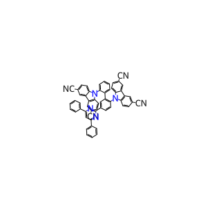 N#Cc1ccc2c(c1)c1cc(C#N)ccc1n2-c1ccccc1-c1cc(-c2nc(-c3ccccc3)cc(-c3ccccc3)n2)ccc1-n1c2ccc(C#N)cc2c2cc(C#N)ccc21